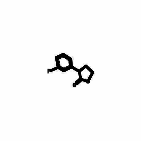 O=C1OCCC1c1cccc(F)c1